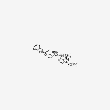 COCc1nn(C)c2c(Nc3cc([C@H]4CC[C@@H](OC(=O)NCc5cccnc5)C4)[nH]n3)nccc12